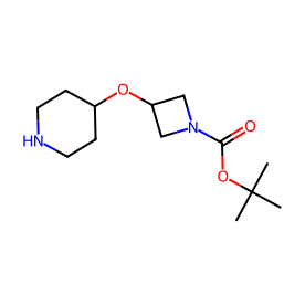 CC(C)(C)OC(=O)N1CC(OC2CCNCC2)C1